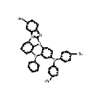 CC(C)(C)c1ccc(N(c2ccc(C(C)(C)C)cc2)c2ccc3c(c2)N(c2ccccc2)c2cccc4c2B3c2nc3ccc(C(C)(C)C)cc3n2-4)cc1